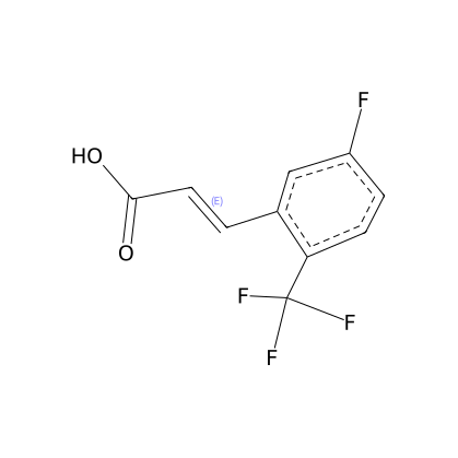 O=C(O)/C=C/c1cc(F)ccc1C(F)(F)F